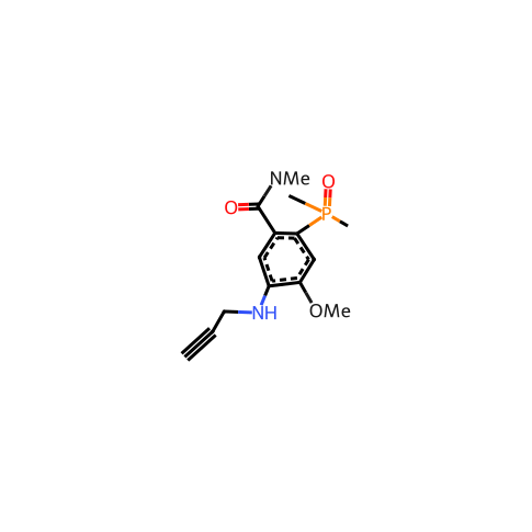 C#CCNc1cc(C(=O)NC)c(P(C)(C)=O)cc1OC